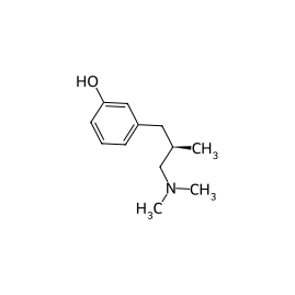 C[C@H](Cc1cccc(O)c1)CN(C)C